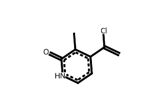 C=C(Cl)c1cc[nH]c(=O)c1C